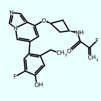 C=C(F)C(=O)N[C@H]1C[C@@H](Oc2cc(-c3cc(F)c(O)cc3CC)cn3cncc23)C1